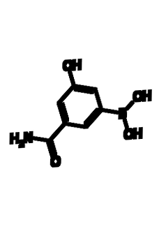 NC(=O)c1cc(O)cc(B(O)O)c1